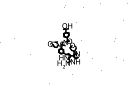 CC(C)(O)c1ccc(C(=O)N2CC(c3cccc(-c4cc(-c5ccnn5C5CCOCC5)c(C(=N)N)[nH]4)c3)(N3CC[S+]([O-])CC3)C2)cc1